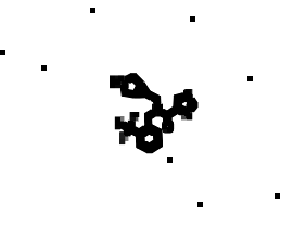 O=C(c1cscn1)N(Cc1ccccc1C(F)(F)F)CC1C2CNCC21